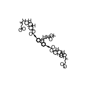 COC(=O)CC[C@@H](C)C(C)C1(C)CCC2[C@@H](CC[C@@H]3C[C@H](OC(=O)C#Cc4ccc5c6ccc(C#CC(=O)O[C@@H]7CCC8(C)C9CCC%10(C)C([C@H](C)CCC(=O)OC)CC[C@H]%10[C@@H]9CC[C@@H]8C7)cc6n(CCNC(=O)OC(C)(C)C)c5c4)CCC23C)C1